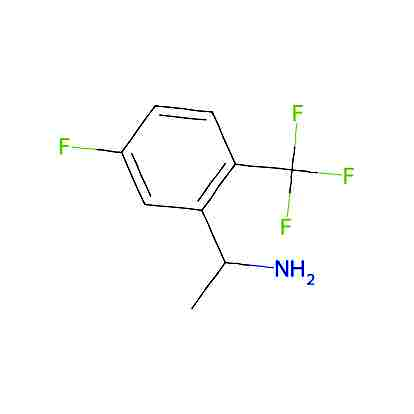 CC(N)c1cc(F)ccc1C(F)(F)F